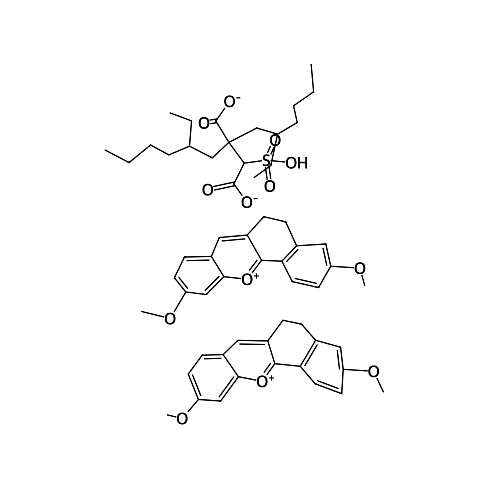 CCCCC(CC)CC(CC(CC)CCCC)(C(=O)[O-])C(C(=O)[O-])S(=O)(=O)O.COc1ccc2c(c1)CCc1cc3ccc(OC)cc3[o+]c1-2.COc1ccc2c(c1)CCc1cc3ccc(OC)cc3[o+]c1-2